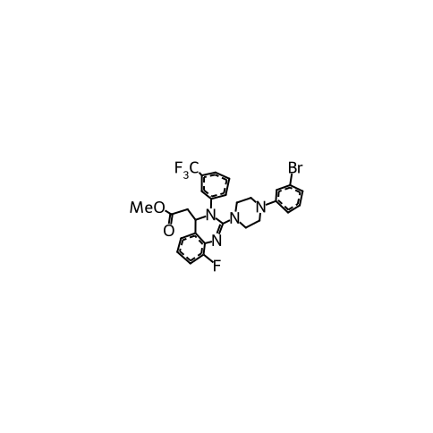 COC(=O)CC1c2cccc(F)c2N=C(N2CCN(c3cccc(Br)c3)CC2)N1c1cccc(C(F)(F)F)c1